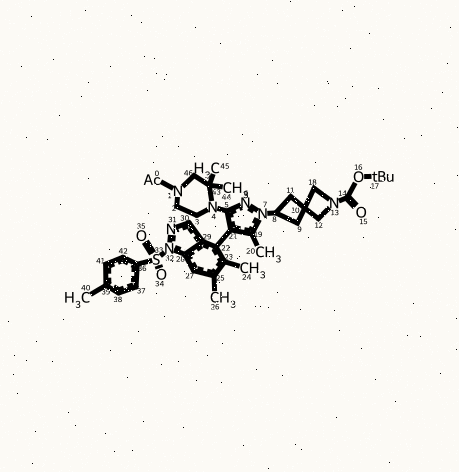 CC(=O)N1CCN(c2nn(C3CC4(C3)CN(C(=O)OC(C)(C)C)C4)c(C)c2-c2c(C)c(C)cc3c2cnn3S(=O)(=O)c2ccc(C)cc2)C(C)(C)C1